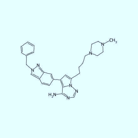 CN1CCN(CCCCc2cc(-c3ccc4cn(Cc5ccccc5)nc4c3)c3c(N)ncnn23)CC1